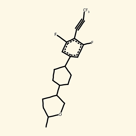 CC1CCC(C2CCC(c3cc(F)c(C#CC(F)(F)F)c(F)c3)CC2)CO1